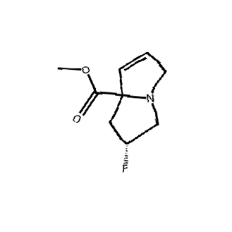 COC(=O)C12C=CCN1C[C@H](F)C2